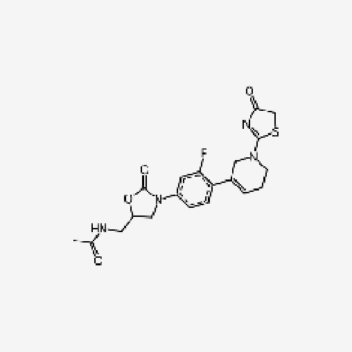 CC(=O)NCC1CN(c2ccc(C3=CCCN(C4=NC(=O)CS4)C3)c(F)c2)C(=O)O1